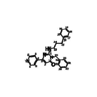 O=c1cc(-c2ccncc2)nc(NCCCc2ccccc2)n1Cc1ccccc1